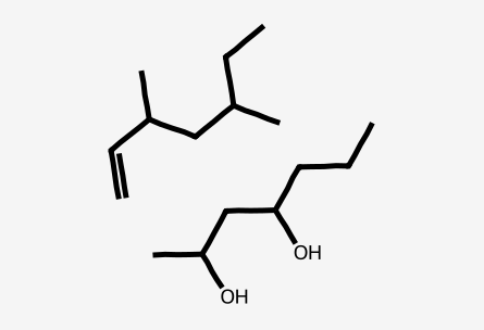 C=CC(C)CC(C)CC.CCCC(O)CC(C)O